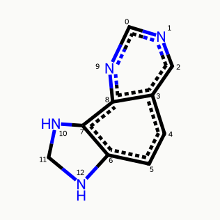 c1ncc2ccc3c(c2n1)NCN3